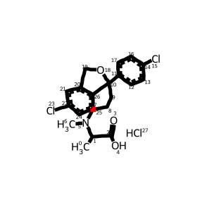 CC(C(=O)O)N(C)CCCC1(c2ccc(Cl)cc2)OCc2cc(Cl)ccc21.Cl